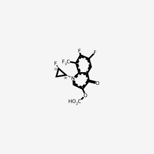 O=C(O)Oc1cn([C@@H]2C[C@@H]2F)c2c(C(F)(F)F)c(F)c(F)cc2c1=O